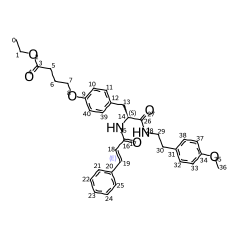 CCOC(=O)CCCOc1ccc(C[C@H](NC(=O)/C=C/c2ccccc2)C(=O)NCCc2ccc(OC)cc2)cc1